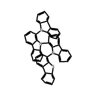 c1ccc2c(c1)sc1c(-n3c4ccccc4c4cccc(-n5c6ccccc6c6cccc(-n7c8ccccc8c8ccccc87)c65)c43)cccc12